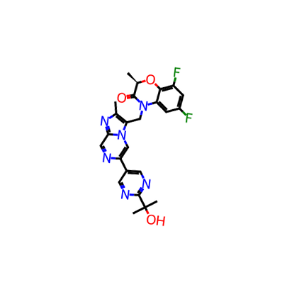 Cc1nc2cnc(-c3cnc(C(C)(C)O)nc3)cn2c1CN1C(=O)[C@@H](C)Oc2c(F)cc(F)cc21